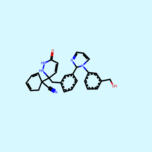 N#CC1(C2(Cc3cccc(C4N=CC=CN4c4cccc(CO)c4)c3)C=CC(=O)NN2)C=CC=CC1